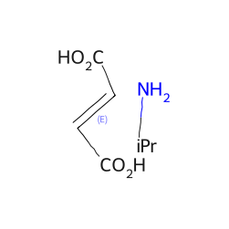 CC(C)N.O=C(O)/C=C/C(=O)O